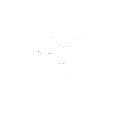 CC(=O)Nc1cc(C[O])cc(NC(C)=O)c1NC(C)=O